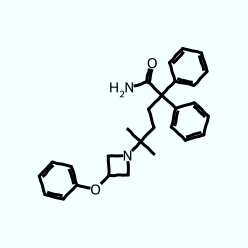 CC(C)(CCC(C(N)=O)(c1ccccc1)c1ccccc1)N1CC(Oc2ccccc2)C1